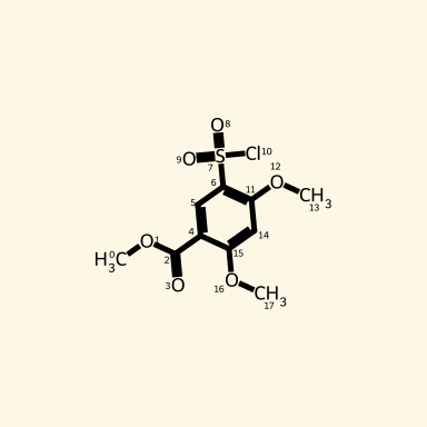 COC(=O)c1cc(S(=O)(=O)Cl)c(OC)cc1OC